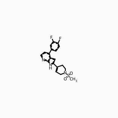 CS(=O)(=O)N1CC=C(c2cc3c(-c4ccc(F)c(F)c4)ccnc3[nH]2)CC1